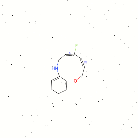 FC1=C/CNC2=CCCC=C2OC/C=C\1